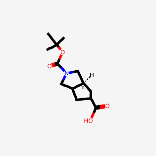 CC(C)(C)OC(=O)N1CC2CC(C(=O)O)C[C@@H]2C1